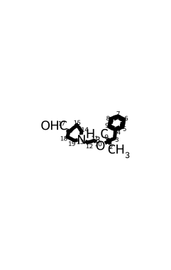 CC(C)(Cc1ccccc1)OCCN1CCC(C=O)CC1